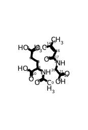 CC(=O)NC(CCC(=O)O)C(=O)O.CC(C)=CC(=O)NCC(=O)O